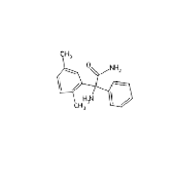 Cc1ccc(C)c(C(N)(C(N)=O)c2ccccc2)c1